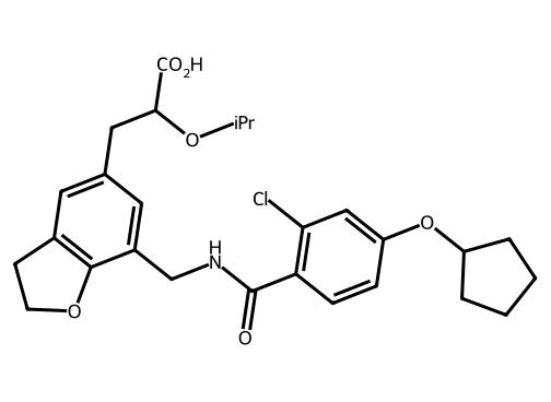 CC(C)OC(Cc1cc2c(c(CNC(=O)c3ccc(OC4CCCC4)cc3Cl)c1)OCC2)C(=O)O